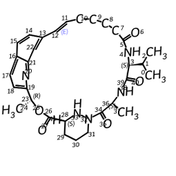 CC(C)[C@@H]1NC(=O)CCCC/C=C/c2ccc3ccc(nc3c2)[C@@H](C)OC(=O)[C@@H]2CCCN(N2)C(=O)[C@H](C)NC1=O